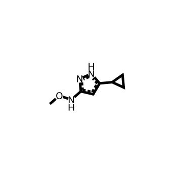 CONc1cc(C2CC2)[nH]n1